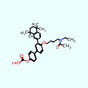 CCN(CCCCOc1ccc(-c2ccc(OC(=O)O)cc2)cc1-c1ccc2c(c1)C(C)(C)CCC2(C)C)C(C)=O